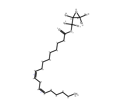 [2H]C([2H])(OC(=O)CCCCCCC/C=C\C/C=C\CCCCC)C1([2H])OC1([2H])[2H]